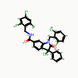 O=C(NCc1c(F)cc(F)cc1F)c1ccc2c(c1)N(Cc1c(F)cccc1Cl)C(=O)C2(Cl)c1ccccc1